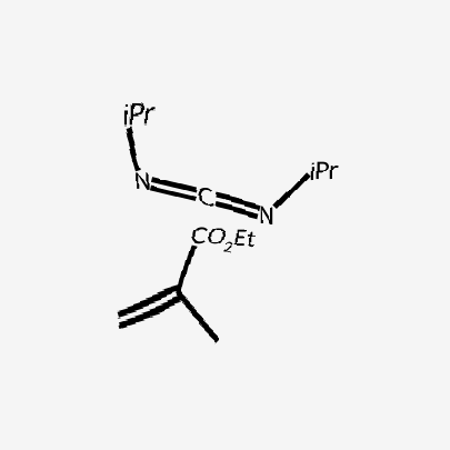 C=C(C)C(=O)OCC.CC(C)N=C=NC(C)C